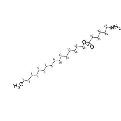 CCCCCCCCCCCCCCCCCOC(=O)CCCCCN